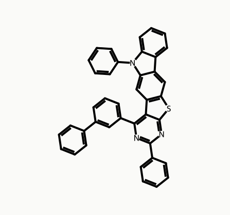 c1ccc(-c2cccc(-c3nc(-c4ccccc4)nc4sc5cc6c7ccccc7n(-c7ccccc7)c6cc5c34)c2)cc1